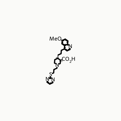 COc1ccc2nccc(CCC[C@@H]3CCN(CCCSc4ncccn4)C[C@@H]3C(=O)O)c2c1